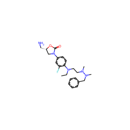 CCN(CCN(C)N(C)Cc1ccccc1)c1ccc(N2C[C@H](CN)OC2=O)cc1F